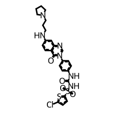 O=C(Nc1ccc(-n2cnc3cc(NCCCN4CCCC4)ccc3c2=O)cc1)NS(=O)(=O)c1ccc(Cl)s1